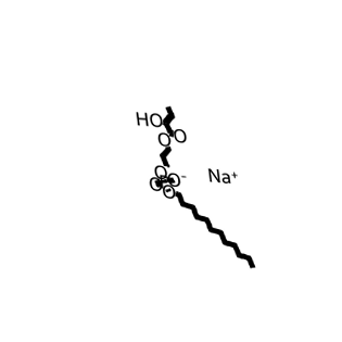 CC=C(O)C(=O)OCCCOP(=O)([O-])OCCCCCCCCCCCC.[Na+]